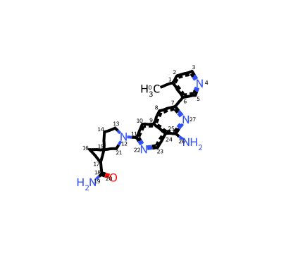 Cc1ccncc1-c1cc2cc(N3CCC4(CC4C(N)=O)C3)ncc2c(N)n1